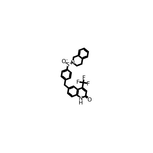 O=c1cc(C(F)(F)F)c2cc(Cc3ccc([S+]([O-])N4CCc5ccccc5C4)cc3)ccc2[nH]1